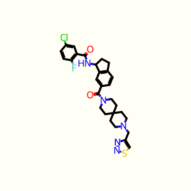 O=C(NC1CCc2ccc(C(=O)N3CCC4(CCN(Cc5csnn5)CC4)CC3)cc21)c1cc(Cl)ccc1F